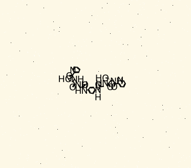 O=C(CNC(=O)[C@H](CO)NC(=O)c1ccccn1)Nc1ccc(NC(=O)CNC(=O)[C@H](CO)NC(=O)c2ccccn2)cc1